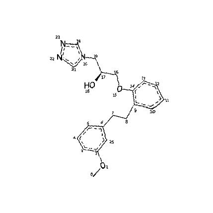 COc1cccc(CCc2ccccc2OC[C@@H](O)Cn2cnnc2)c1